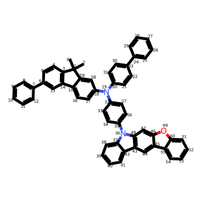 CC1(C)c2ccc(-c3ccccc3)cc2-c2ccc(N(c3ccc(-c4ccccc4)cc3)c3ccc(-n4c5ccccc5c5cc6c(cc54)oc4ccccc46)cc3)cc21